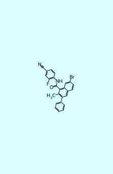 Cc1c(-c2ccccc2)cc2ccc(Br)cc2c1C(=O)Nc1ccc(C#N)cc1F